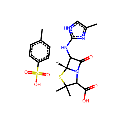 Cc1c[nH]c(NC2C(=O)N3C(C(=O)O)C(C)(C)S[C@H]23)n1.Cc1ccc(S(=O)(=O)O)cc1